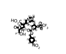 C[C@@H](O)[C@H]1C(=O)N2C(C(=O)O)=C(c3c[n+]4cn(C)c(S[C@H]5CCN(C(=O)OCc6ccc([N+](=O)[O-])cc6)C5)c4s3)[C@H](C)[C@H]12.O=S(=O)([O-])C(F)(F)F